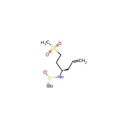 C=CC[C@H](CCS(C)(=O)=O)N[S@@+]([O-])C(C)(C)C